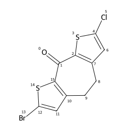 O=C1c2sc(Cl)cc2CCc2cc(Br)sc21